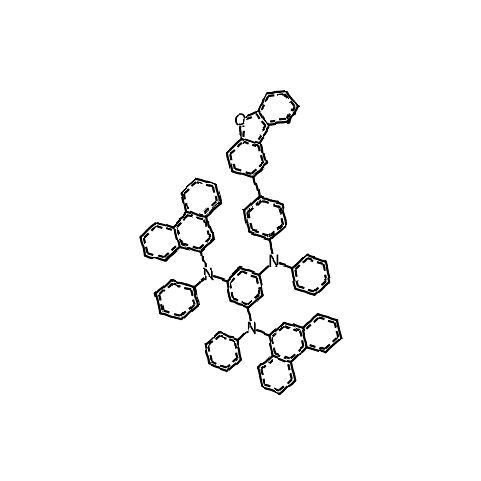 c1ccc(N(c2ccc(-c3ccc4oc5ccccc5c4c3)cc2)c2cc(N(c3ccccc3)c3cc4ccccc4c4ccccc34)cc(N(c3ccccc3)c3cc4ccccc4c4ccccc34)c2)cc1